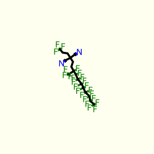 N#CC(C#N)(CCC(F)(F)F)CCC(F)(C(F)(F)F)C(F)(F)C(F)(F)C(F)(F)C(F)(F)C(F)(F)C(F)(F)C(F)(F)C(F)(F)F